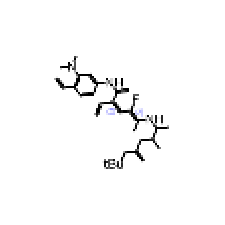 C=C/C(=C/C(F)=C(\C)NC(C)C(C)CC(=C)CC(C)(C)C)C(=C)Nc1ccc(C=C)c(N(C)C)c1